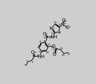 CCCC(=O)Nc1ccc(C(=O)Nc2ncc([N+](=O)[O-])s2)c(OC(=O)CCC)c1